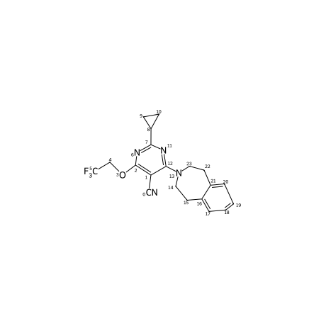 N#Cc1c(OCC(F)(F)F)nc(C2CC2)nc1N1CCc2ccccc2CC1